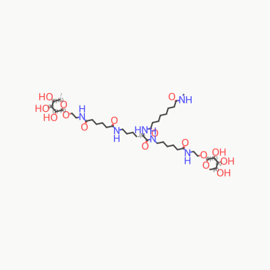 CNC(=O)CCCCCCC(=O)N[C@@H](CCCCNC(=O)CCCCC(=O)NCCO[C@@H]1O[C@@H](C)[C@@H](O)[C@@H](O)[C@@H]1O)C(=O)NCCCCCC(=O)NCCO[C@@H]1OC[C@@H](O)[C@@H](O)[C@@H]1O